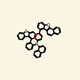 c1ccc(N(c2ccc(-c3cccc4oc5c6ccccc6ccc5c34)cc2)c2cccc3ccccc23)c(-c2cccc3sc4ccccc4c23)c1